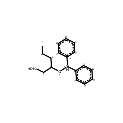 CCCCCCCCCCCC(CCI)O[SiH](c1ccccc1)c1ccccc1